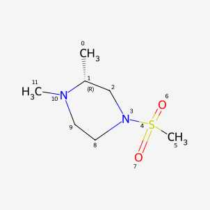 C[C@@H]1CN(S(C)(=O)=O)CCN1C